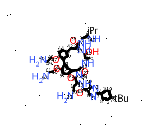 Cc1nc(-c2ccc(C(C)(C)C)cc2)ncc1C(=O)NC(CCN)C(=O)N(C)C1C(=O)NC(C)C(O)NC(C(=O)NCC(=N)C(C)C)Cc2ccc(OCCN)c(c2)-c2cc1ccc2OCCN